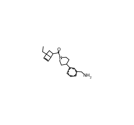 CCC12C=CC1C(C(=O)N1CCC(c3cccc(CN)c3)CC1)C2